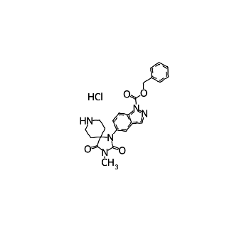 CN1C(=O)N(c2ccc3c(cnn3C(=O)OCc3ccccc3)c2)C2(CCNCC2)C1=O.Cl